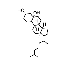 CC(C)CCCC(C)[C@H]1CC[C@H]2[C@@H]3CC[C@@]4(O)C[C@@H](O)CC[C@]4(C)[C@H]3CC[C@]12C